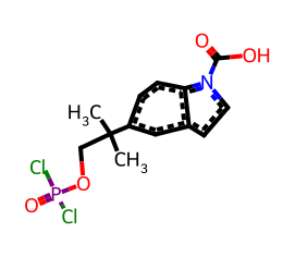 CC(C)(COP(=O)(Cl)Cl)c1ccc2c(ccn2C(=O)O)c1